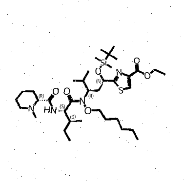 CCCCCCON(C(=O)[C@@H](NC(=O)[C@H]1CCCCN1C)[C@@H](C)CC)[C@H](C[C@@H](O[Si](C)(C)C(C)(C)C)c1nc(C(=O)OCC)cs1)C(C)C